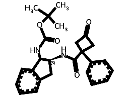 CC(C)(C)OC(=O)NC1c2ccccc2C[C@@H]1NC(=O)C1(c2ccccc2)CC(=O)C1